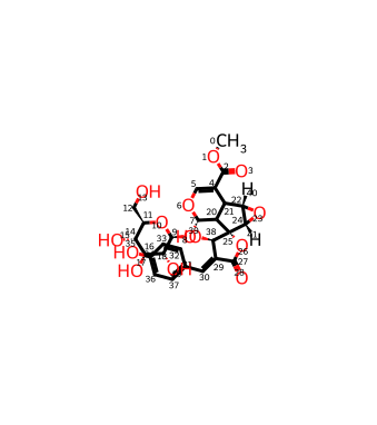 COC(=O)C1=CO[C@@H](O[C@@H]2O[C@H](CO)[C@@H](O)[C@H](O)[C@H]2O)C2C1[C@@H]1O[C@@H]1[C@]21OC(=O)/C(=C/c2ccc(O)cc2)[C@H]1O